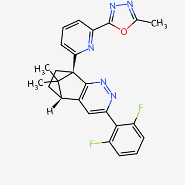 Cc1nnc(-c2cccc([C@@]34CC[C@@H](c5cc(-c6c(F)cccc6F)nnc53)C4(C)C)n2)o1